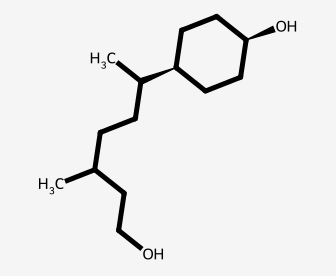 CC(CCO)CCC(C)[C@H]1CC[C@@H](O)CC1